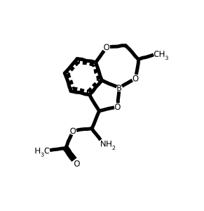 CC(=O)OC(N)C1OB2OC(C)COc3cccc1c32